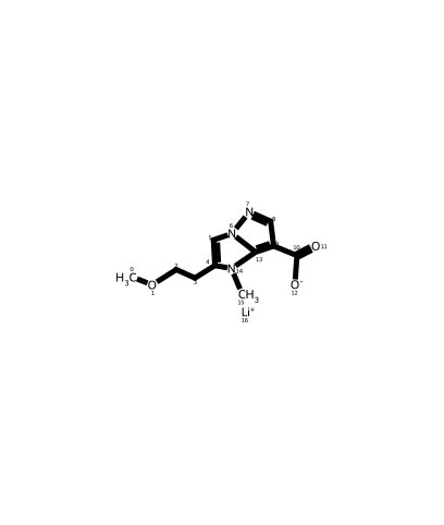 COCCc1cn2ncc(C(=O)[O-])c2n1C.[Li+]